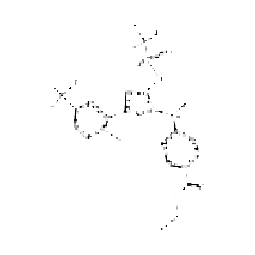 CCOC(=O)c1ccc([C@H](C)n2nc(-c3cc(C(F)(F)F)ccc3F)cc2OS(=O)(=O)C(F)(F)F)cc1